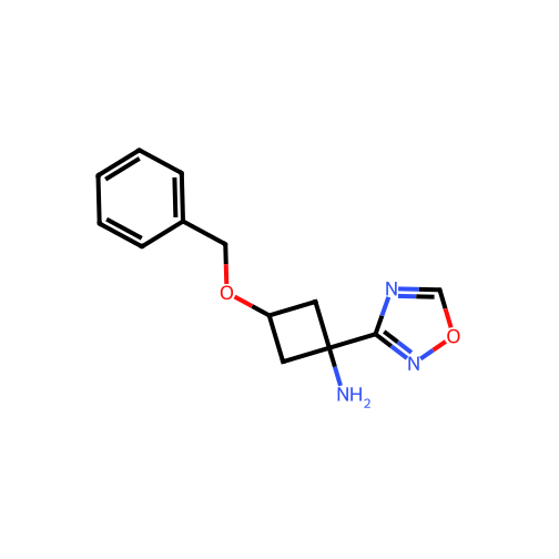 NC1(c2ncon2)CC(OCc2ccccc2)C1